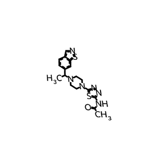 CC(=O)Nc1nnc(N2CCN(C(C)c3ccc4cnsc4c3)CC2)s1